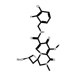 CO[C@H]1C[C@]2(CN(C)C(=O)c3c(OI)c(=O)c(C(=O)NCc4cccc(Cl)c4F)cn32)C1